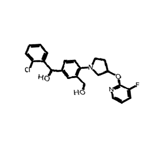 OCc1cc(C(O)c2ccccc2Cl)ccc1N1CCC(Oc2ncccc2F)C1